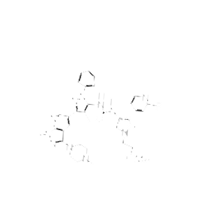 COCCN1C[C@@H](NC(=O)Nc2c(C)c(-c3cnc4c(c3)c(N3CCN(C)CC3)nn4C)nn2-c2ccccc2)[C@H](c2ccnc(F)c2)O1